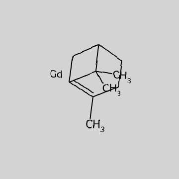 CC1=C2CC(CC1)C2(C)C.[Gd]